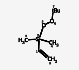 C=C[Si](C)(C)OOC(C)(C)C